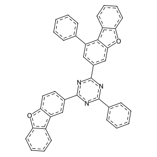 c1ccc(-c2nc(-c3cc(-c4ccccc4)c4c(c3)oc3ccccc34)nc(-c3ccc4oc5ccccc5c4c3)n2)cc1